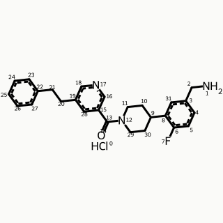 Cl.NCc1ccc(F)c(C2CCN(C(=O)c3cncc(CCc4ccccc4)c3)CC2)c1